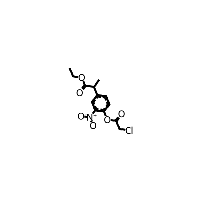 CCOC(=O)C(C)c1ccc(OC(=O)CCl)c([N+](=O)[O-])c1